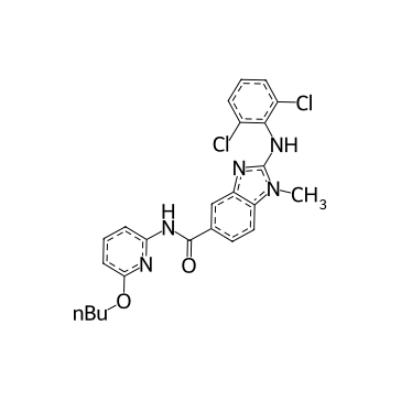 CCCCOc1cccc(NC(=O)c2ccc3c(c2)nc(Nc2c(Cl)cccc2Cl)n3C)n1